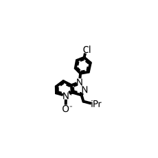 CC(C)Cc1nn(-c2ccc(Cl)cc2)c2ccc[n+]([O-])c12